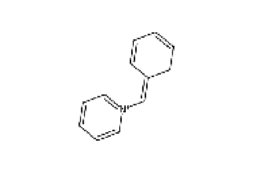 [C]1=CC=CCC1=C[n+]1ccccc1